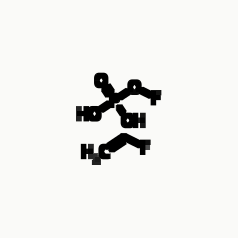 C=CF.O=P(O)(O)OF